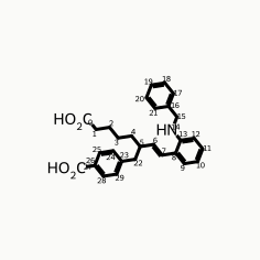 O=C(O)CCCCC(/C=C/c1ccccc1NCc1ccccc1)Cc1ccc(C(=O)O)cc1